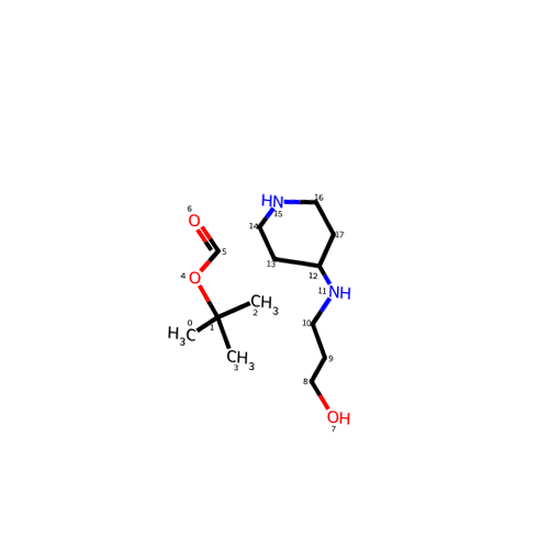 CC(C)(C)OC=O.OCCCNC1CCNCC1